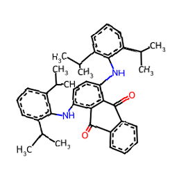 CC(C)c1cccc(C(C)C)c1Nc1ccc(Nc2c(C(C)C)cccc2C(C)C)c2c1C(=O)c1ccccc1C2=O